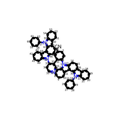 N#Cc1ccc(-n2c3ccccc3c3c2ccc2c4ccccc4n(-c4ccccc4)c23)c(-c2cnccc2-n2c3ccccc3c3c2ccc2c4ccccc4n(-c4ccccc4)c23)c1